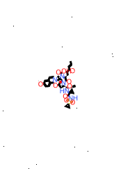 C=C[C@@H]1C[C@]1(NC(=O)[C@@H]1C[C@@H](Oc2nccc3cc(OC)ccc23)CN1C(=O)[C@H](CCC(=O)/C=C/C)N(C(=O)O)C(C)(C)C)C(=O)NS(=O)(=O)C1CC1